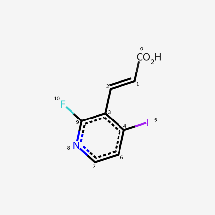 O=C(O)C=Cc1c(I)ccnc1F